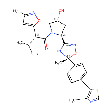 Cc1cc([C@H](C(=O)N2C[C@H](O)C[C@H]2C2=NO[C@](C)(c3ccc(-c4scnc4C)cc3)N2)C(C)C)on1